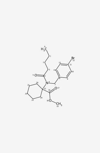 CCCCC(=O)N(Cc1ccc(Br)cc1)C1(C(=O)OC)CCCCC1